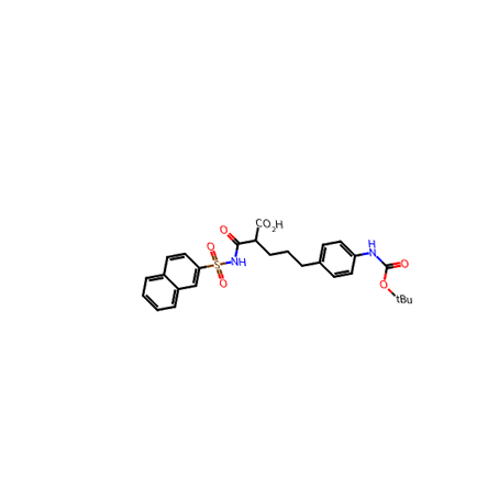 CC(C)(C)OC(=O)Nc1ccc(CCCC(C(=O)O)C(=O)NS(=O)(=O)c2ccc3ccccc3c2)cc1